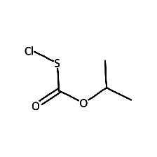 CC(C)OC(=O)SCl